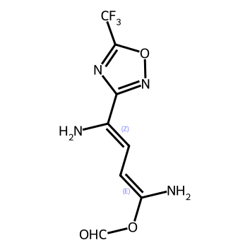 N/C(=C\C=C(/N)OC=O)c1noc(C(F)(F)F)n1